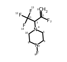 C=C(F)C(N1CCN(F)CC1)C(F)(F)F